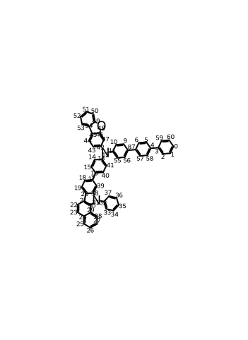 c1ccc(-c2ccc(-c3ccc(N(c4ccc(-c5ccc6c7ccc8ccccc8c7n(-c7ccccc7)c6c5)cc4)c4ccc5c(c4)oc4ccccc45)cc3)cc2)cc1